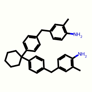 Cc1cc(Cc2ccc(C3(c4ccc(Cc5ccc(N)c(C)c5)cc4)CCCCC3)cc2)ccc1N